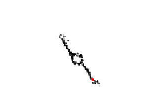 CCCCCCCCCCCCP1CCCOCCCP(CCCCCCCCCCCC)CCCOCCC1